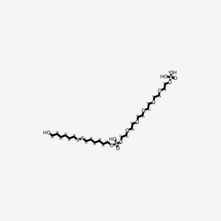 O=P(O)(O)OCCOCCOCCOCCOCCOCCOP(=O)(O)OCCCCCCSSCCCCCCO